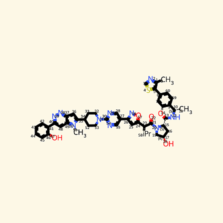 Cc1ncsc1-c1ccc([C@H](C)NC(=O)[C@@H]2C[C@@H](O)CN2C(=O)C(c2cc(-c3cnc(N4CCC(c5cc6nnc(-c7ccccc7O)cc6n5C)CC4)nc3)no2)C(C)C)cc1